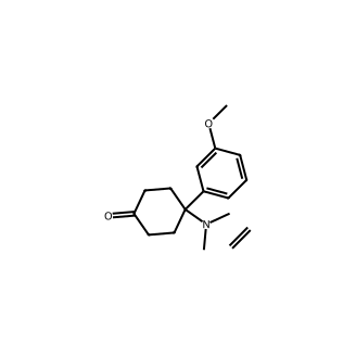 C=C.COc1cccc(C2(N(C)C)CCC(=O)CC2)c1